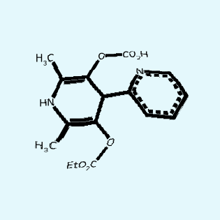 CCOC(=O)OC1=C(C)NC(C)=C(OC(=O)O)C1c1ccccn1